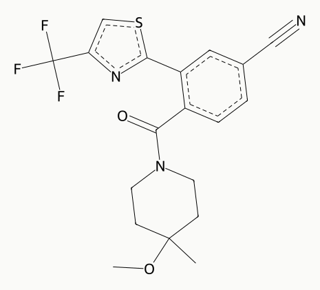 COC1(C)CCN(C(=O)c2ccc(C#N)cc2-c2nc(C(F)(F)F)cs2)CC1